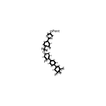 CCCCCc1cnc(-c2ccc(C(F)(F)O[C@H]3C=C(F)C(c4ccc(-c5cc(F)c(F)c(F)c5)cc4)=CC3)c(F)c2)nc1